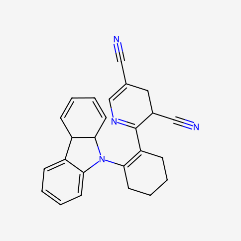 N#CC1=CN=C(C2=C(N3c4ccccc4C4C=CC=CC43)CCCC2)C(C#N)C1